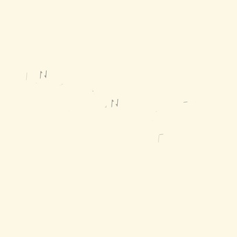 NC12CC(N3CC(F)(F)C3)(C1)C2